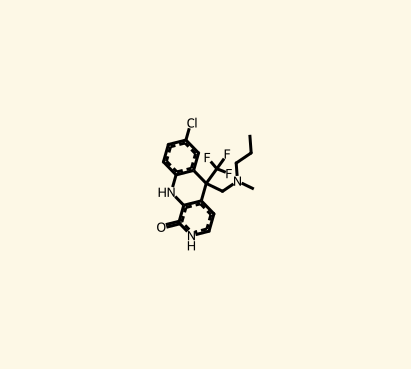 CCCN(C)CC1(C(F)(F)F)c2cc(Cl)ccc2Nc2c1cc[nH]c2=O